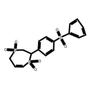 O=S1(=O)CC=CS(=O)(=O)C(c2ccc(S(=O)(=O)c3ccccc3)cc2)C1